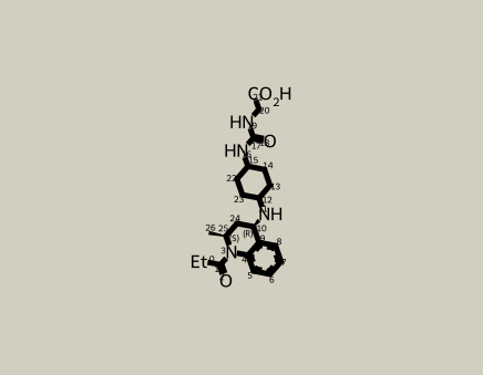 CCC(=O)N1c2ccccc2[C@H](NC2CCC(NC(=O)NCC(=O)O)CC2)C[C@@H]1C